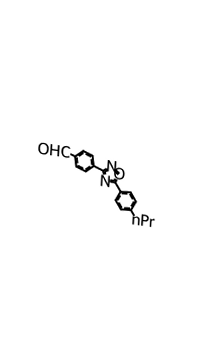 CCCc1ccc(-c2nc(-c3ccc(C=O)cc3)no2)cc1